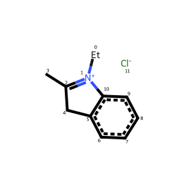 CC[N+]1=C(C)Cc2ccccc21.[Cl-]